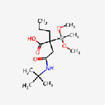 CCCC(CC(=O)NC(C)(C)C)(C(=O)O)[Si](C)(OC)OC